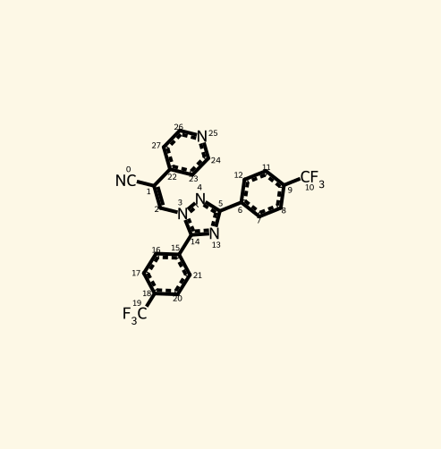 N#CC(=Cn1nc(-c2ccc(C(F)(F)F)cc2)nc1-c1ccc(C(F)(F)F)cc1)c1ccncc1